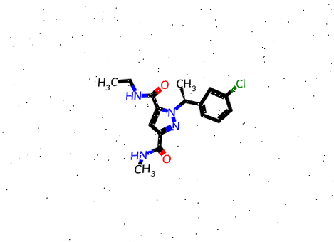 CCNC(=O)c1cc(C(=O)NC)nn1[C@@H](C)c1cccc(Cl)c1